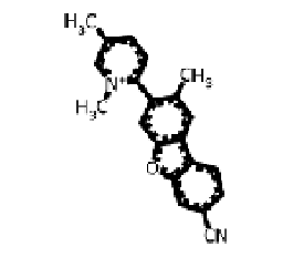 Cc1ccc(-c2cc3oc4cc(C#N)ccc4c3cc2C)[n+](C)c1